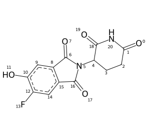 O=C1CCC(N2C(=O)c3cc(O)c(F)cc3C2=O)C(=O)N1